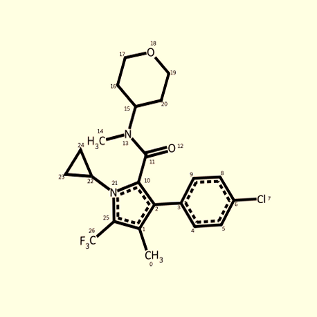 Cc1c(-c2ccc(Cl)cc2)c(C(=O)N(C)C2CCOCC2)n(C2CC2)c1C(F)(F)F